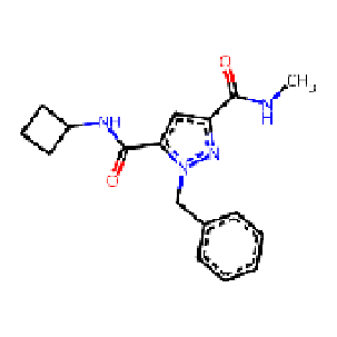 CNC(=O)c1cc(C(=O)NC2CCC2)n(Cc2ccccc2)n1